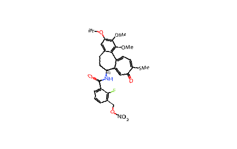 COc1c(OC(C)C)cc2c(c1OC)-c1ccc(SC)c(=O)cc1[C@@H](NC(=O)c1cccc(CO[N+](=O)[O-])c1F)CC2